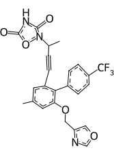 Cc1cc(C#CC(C)n2oc(=O)[nH]c2=O)c(-c2ccc(C(F)(F)F)cc2)c(OCc2cocn2)c1